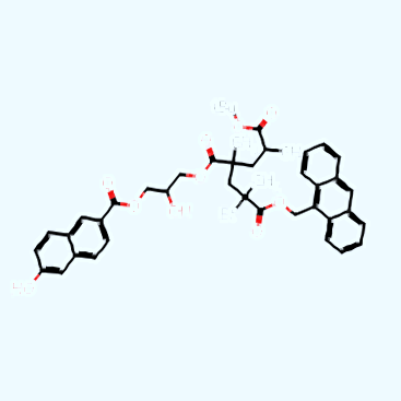 CCC(C)(CC(C)(CC(C)C(=O)OC(C)(C)C)C(=O)OCC(O)COC(=O)c1ccc2cc(O)ccc2c1)C(=O)OCc1c2ccccc2cc2ccccc12